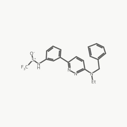 CCN(Cc1ccccc1)c1ccc(-c2cccc(N[S+]([O-])C(F)(F)F)c2)nn1